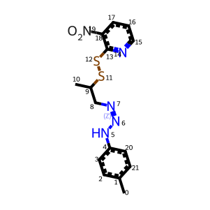 Cc1ccc(N/N=N\CC(C)SSc2ncccc2[N+](=O)[O-])cc1